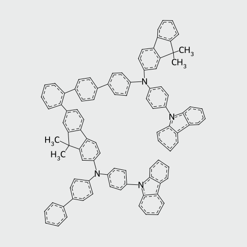 CC1(C)c2ccccc2-c2ccc(N(c3ccc(-c4ccc(-c5ccccc5-c5ccc6c(c5)C(C)(C)c5cc(N(c7ccc(-c8ccccc8)cc7)c7ccc(-n8c9ccccc9c9ccccc98)cc7)ccc5-6)cc4)cc3)c3ccc(-n4c5ccccc5c5ccccc54)cc3)cc21